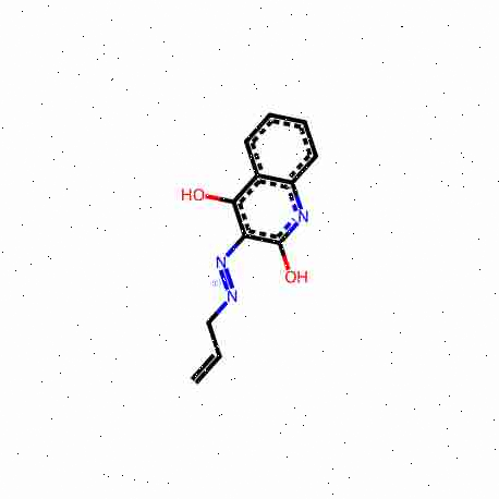 C=CC/N=N/c1c(O)nc2ccccc2c1O